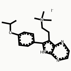 CC(C)Oc1ccc(-c2[nH]c3nccnc3c2CC[N+](C)(C)C)cc1.[I-]